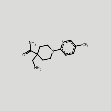 NCC1(C(N)=O)CCN(c2ccc(C(F)(F)F)cn2)CC1